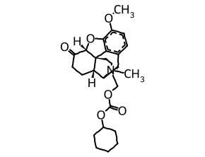 COc1ccc2c3c1O[C@H]1C(=O)CC[C@H]4C(C2)[N+](C)(COC(=O)OC2CCCCC2)CC[C@]314